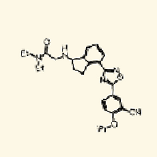 CCN(CC)C(=O)CNC1CCc2c(-c3noc(-c4ccc(OC(C)C)c(C#N)c4)n3)cccc21